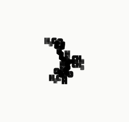 C=c1[nH]c(=O)c(=Cc2nc(CCCN3CCOC(C)C3)[nH]c2C(C)C)[nH]c1=O